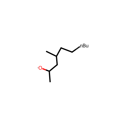 CCCCCCC(C)CC(C)[O]